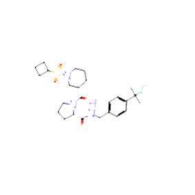 CC(C)(F)c1ccc(CNC(=O)[C@H]2CCCN2C(=O)[C@H]2CCCN(S(=O)(=O)C3CCC3)C2)cc1